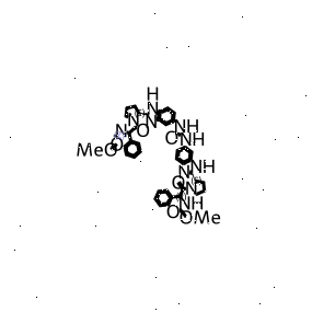 COO/C=N\C(C(=O)N1CCC[C@H]1c1nc2cc(NC(=O)Nc3ccc4nc([C@@H]5CCCN5C(=O)[C@H](NC(=O)OC)c5ccccc5)[nH]c4c3)ccc2[nH]1)c1ccccc1